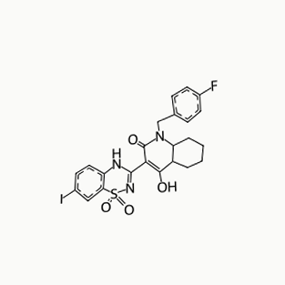 O=C1C(C2=NS(=O)(=O)c3cc(I)ccc3N2)=C(O)C2CCCCC2N1Cc1ccc(F)cc1